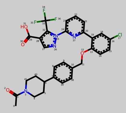 CC(=O)N1CCC(c2ccc(COc3ccc(Cl)cc3-c3cccc(-n4ncc(C(=O)O)c4C(F)(F)F)n3)cc2)CC1